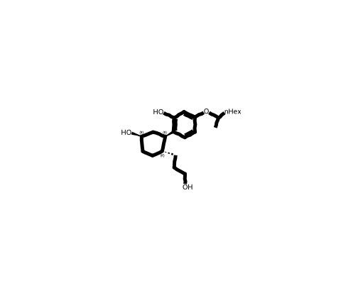 CCCCCCC(C)Oc1ccc([C@@H]2C[C@H](O)CC[C@H]2CCCO)c(O)c1